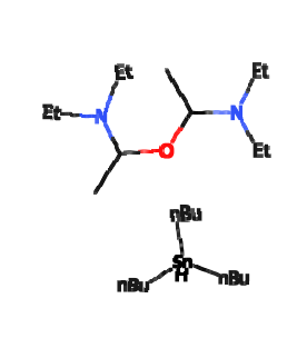 CCC[CH2][SnH]([CH2]CCC)[CH2]CCC.CCN(CC)C(C)OC(C)N(CC)CC